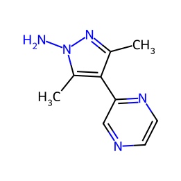 Cc1nn(N)c(C)c1-c1cnccn1